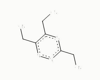 N#CCc1nnc(CC#N)c(CC#N)n1